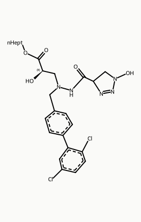 CCCCCCCOC(=O)[C@H](O)CN(Cc1ccc(-c2cc(Cl)ccc2Cl)cc1)NC(=O)C1CN(O)N=N1